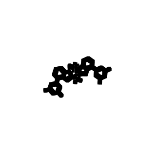 Cc1cc(C)cc(-c2cccc3c2C=C2[CH]3[Hf]([CH3])([CH3])[CH]3C(=Cc4c(-c5cc(C)cc(C)c5)cccc43)[Si]2(C)C)c1